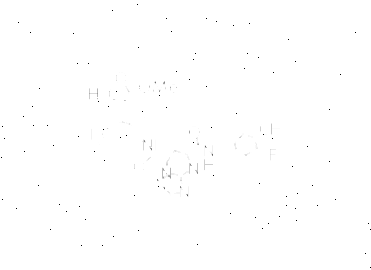 COC(=O)C1(C)CCC(CNC(=O)c2cc(C(=O)NCc3ccc(F)c(C)c3)nc3ncnn23)=C(C)C1